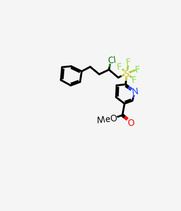 COC(=O)c1ccc(S(F)(F)(F)(F)CC(Cl)CCc2ccccc2)nc1